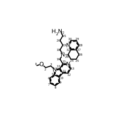 COCCn1c2ccccc2c2ccnc(CN(CCCCN)[C@H]3CCCc4cccnc43)c21